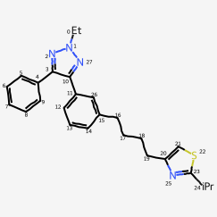 CCn1nc(-c2ccccc2)c(-c2cccc(CCCCc3csc(C(C)C)n3)c2)n1